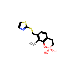 O=C(O)c1c(CSc2nccs2)ccc2c1O[B-](O)(O)CC2